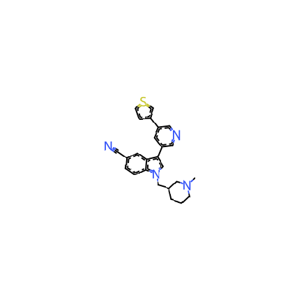 CN1CCCC(Cn2cc(-c3cncc(-c4ccsc4)c3)c3cc(C#N)ccc32)C1